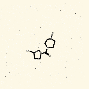 CCN1CCN(C(=O)N2CCC(C#N)C2)CC1